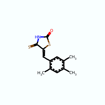 Cc1cc(C)c(/C=C2\SC(=O)NC2=S)cc1C